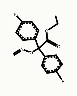 C=NOC(C(=O)OCC)(c1ccc(F)cc1)c1ccc(F)cc1